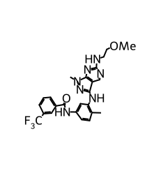 COCCNc1ncc2c(Nc3cc(NC(=O)c4cccc(C(F)(F)F)c4)ccc3C)nn(C)c2n1